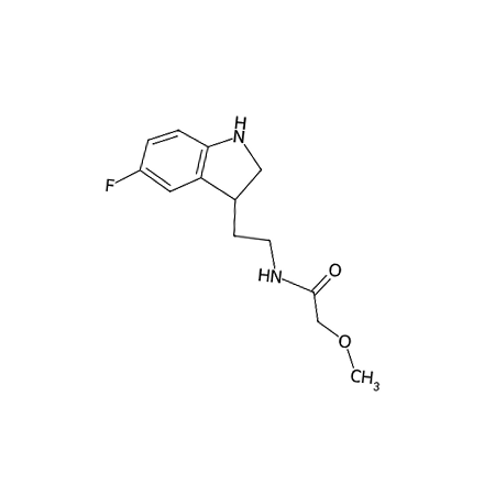 COCC(=O)NCCC1CNc2ccc(F)cc21